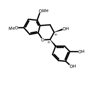 COc1cc(OC)c2c(c1)O[C@H](c1ccc(O)c(O)c1)[C@H](O)C2